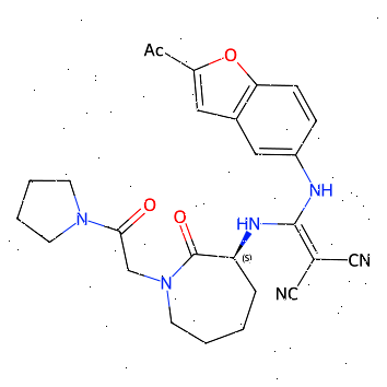 CC(=O)c1cc2cc(NC(N[C@H]3CCCCN(CC(=O)N4CCCC4)C3=O)=C(C#N)C#N)ccc2o1